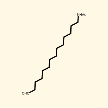 CC(=O)NCCCCCCCCCCCCCC=O